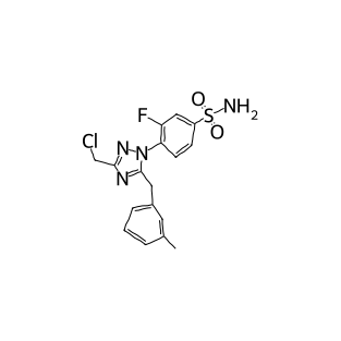 Cc1cccc(Cc2nc(CCl)nn2-c2ccc(S(N)(=O)=O)cc2F)c1